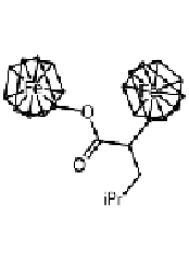 CC(C)CC(C(=O)O[C]12[CH]3[CH]4[CH]5[CH]1[Fe]45321678[CH]2[CH]1[CH]6[CH]7[CH]28)[C]12[CH]3[CH]4[CH]5[CH]1[Fe]45321678[CH]2[CH]1[CH]6[CH]7[CH]28